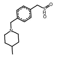 CC1CCN(Cc2ccc(C[SH](=O)=O)cc2)CC1